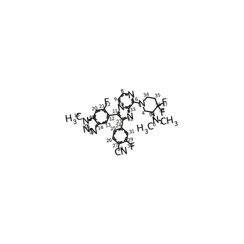 CN(C)[C@H]1CN(c2nccn3c(-c4cc5nnn(C)c5cc4F)c(-c4ccc(C#N)c(F)c4)nc23)CCC1(F)F